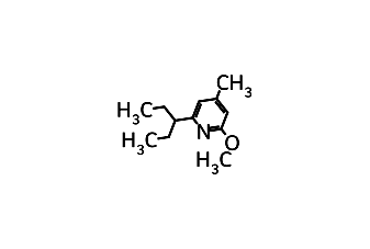 CCC(CC)c1cc(C)cc(OC)n1